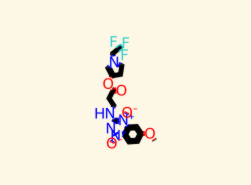 COc1ccc2c(c1)[n+]([O-])c(NCCC(=O)OC1=CN(CC(F)(F)F)CC1)n[n+]2[O-]